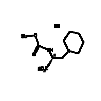 CC(C)(C)OC(=O)N[C@H](CN1CCCCC1)C(=O)O.[KH]